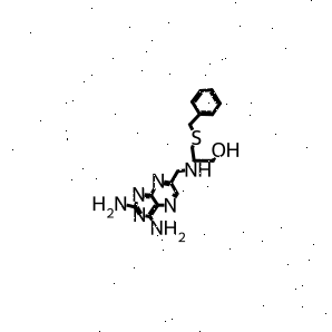 Nc1nc(N)c2ncc(CNC(CO)CSCc3ccccc3)nc2n1